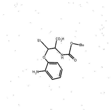 CCC(Oc1ccccc1N)C(NC(=O)OC(C)(C)C)C(=O)O